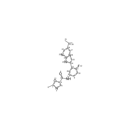 Cc1ncc(C(=O)Nc2ccc(F)c(-c3cn4cc(C(C)C)cnc4n3)c2)o1